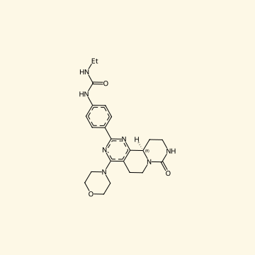 CCNC(=O)Nc1ccc(-c2nc3c(c(N4CCOCC4)n2)CCN2C(=O)NCC[C@H]32)cc1